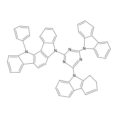 C1=Cc2c(n(-c3nc(-n4c5ccccc5c5ccccc54)nc(-n4c5ccccc5c5c4ccc4c6ccccc6n(-c6ccccc6)c45)n3)c3ccccc23)CC1